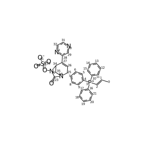 CC=C[P+](c1ccccc1)(c1ccccc1)c1ccccc1.O=C1N2CC=C(c3cnccn3)C(C2)N1OS(=O)(=O)[O-]